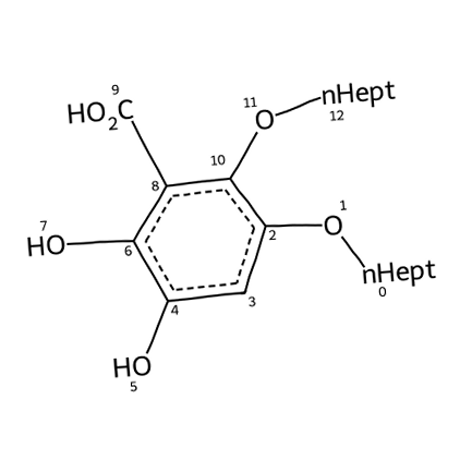 CCCCCCCOc1cc(O)c(O)c(C(=O)O)c1OCCCCCCC